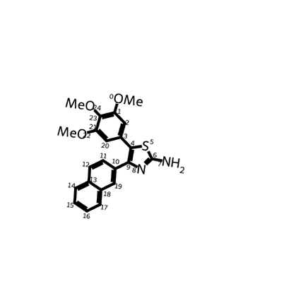 COc1cc(-c2sc(N)nc2-c2ccc3ccccc3c2)cc(OC)c1OC